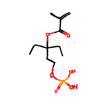 C=C(C)C(=O)OC(CC)(CC)CCOP(=O)(O)O